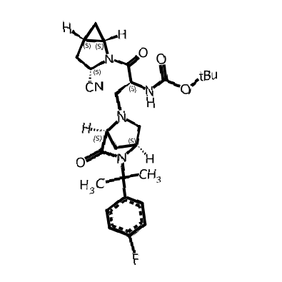 CC(C)(C)OC(=O)N[C@@H](CN1C[C@@H]2C[C@H]1C(=O)N2C(C)(C)c1ccc(F)cc1)C(=O)N1[C@H](C#N)C[C@@H]2C[C@@H]21